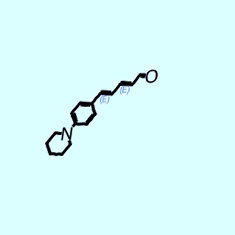 O=C/C=C/C=C/c1ccc(N2CCCCC2)cc1